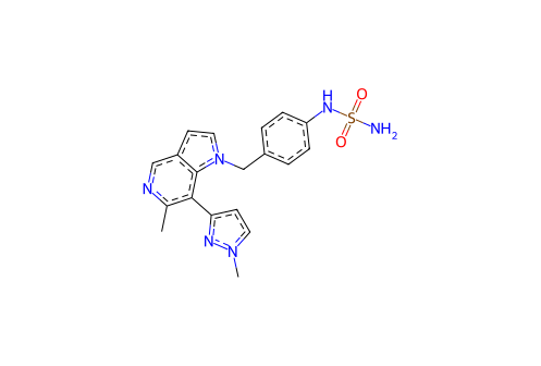 Cc1ncc2ccn(Cc3ccc(NS(N)(=O)=O)cc3)c2c1-c1ccn(C)n1